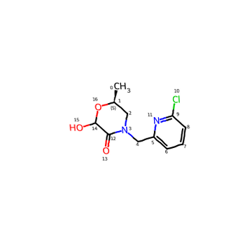 C[C@H]1CN(Cc2cccc(Cl)n2)C(=O)C(O)O1